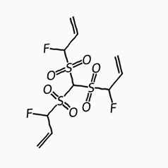 C=CC(F)S(=O)(=O)C(S(=O)(=O)C(F)C=C)S(=O)(=O)C(F)C=C